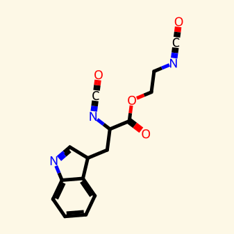 O=C=NCCOC(=O)C(CC1C=Nc2ccccc21)N=C=O